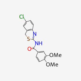 COc1ccc(C(=O)NC2=Nc3ccc(Cl)cc3CS2)cc1OC